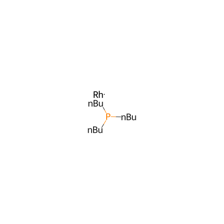 CCCCP(CCCC)CCCC.[Rh]